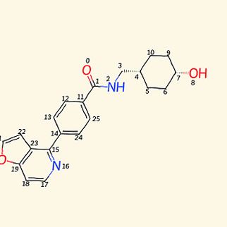 O=C(NC[C@H]1CC[C@@H](O)CC1)c1ccc(-c2nccc3occc23)cc1